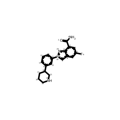 NC(=O)c1cc(F)cc2cn(-c3cccc(C4CCCNC4)c3)nc12